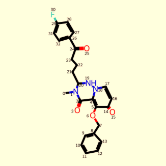 CN1C(=O)c2c(OCc3ccccc3)c(=O)ccn2NC1CCCC(=O)c1ccc(F)cc1